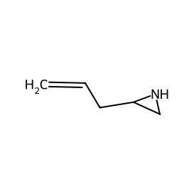 C=CCC1CN1